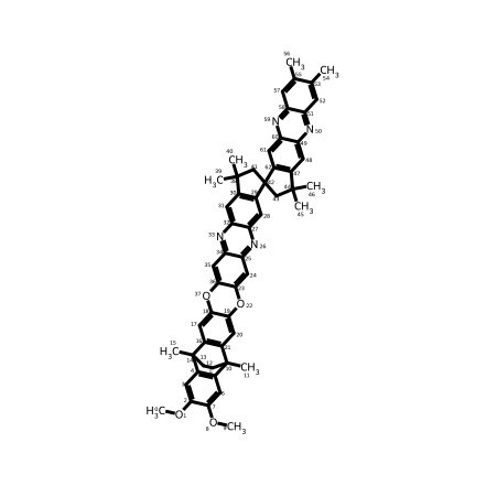 COc1cc2c(cc1OC)C1(C)CCC2(C)c2cc3c(cc21)Oc1cc2nc4cc5c(cc4nc2cc1O3)C(C)(C)CC51CC(C)(C)c2cc3nc4cc(C)c(C)cc4nc3cc21